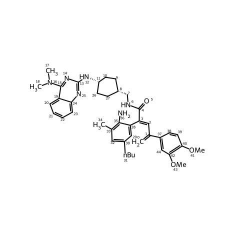 C=C(/C=C(/C(=O)NC[C@H]1CC[C@@H](Nc2nc(N(C)C)c3ccccc3n2)CC1)c1cc(CCCC)cc(C)c1N)c1ccc(OC)c(OC)c1